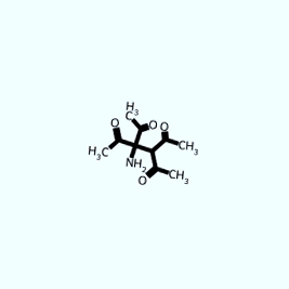 CC(=O)C(C(C)=O)C(N)(C(C)=O)C(C)=O